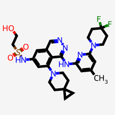 Cc1cc(Nc2nncc3cc(NS(=O)(=O)CCO)cc(N4CCC5(CC4)CC5)c23)nc(N2CCC(F)(F)CC2)c1